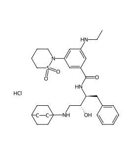 CCNc1cc(C(=O)N[C@@H](Cc2ccccc2)[C@H](O)CNC23CCC(CC2)CC3)cc(N2CCCCS2(=O)=O)c1.Cl